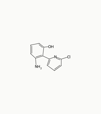 Nc1cccc(O)c1-c1cccc(Cl)n1